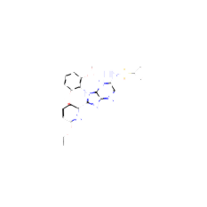 CCOC1=NC(c2nc3ncc(NS(=O)(=O)C4COC4)nc3n2-c2c(O)cccc2OC)=C=C=C1